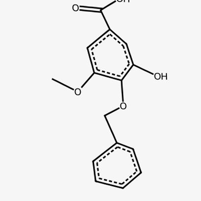 COc1cc(C(=O)O)cc(O)c1OCc1ccccc1